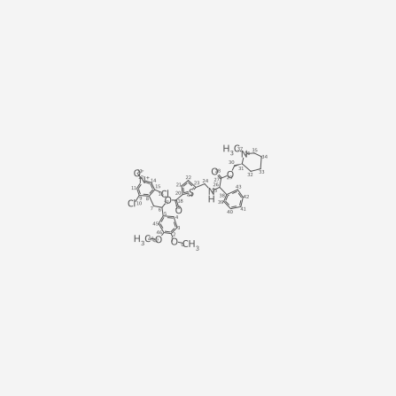 COc1ccc(C(Cc2c(Cl)c[n+]([O-])cc2Cl)OC(=O)c2ccc(CNC(C(=O)OC[C@@H]3CCCCN3C)c3ccccc3)s2)cc1OC